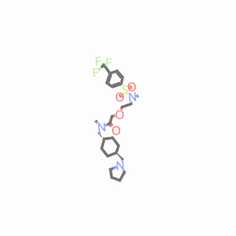 CN(C[C@H]1CC[C@H](CN2CCCC2)CC1)C(=O)COCCN(C)S(=O)(=O)c1ccc(C(F)(F)F)cc1